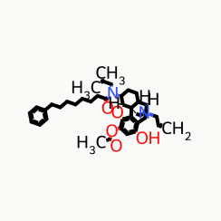 C=CCN1CC[C@]23c4c5c(O)cc(OC(C)=O)c4O[C@H]2[C@@H](N(CC(C)C)C(=O)CCCCCCCc2ccccc2)CC[C@H]3[C@H]1C5